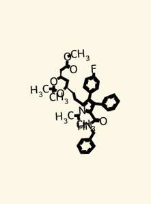 COC(=O)C[C@H]1C[C@@H](CCc2c(-c3ccc(F)cc3)c(-c3ccccc3)c(C(=O)NCc3ccccc3)n2C(C)C)OC(C)(C)O1